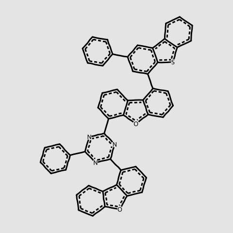 c1ccc(-c2cc(-c3cccc4oc5c(-c6nc(-c7ccccc7)nc(-c7cccc8oc9ccccc9c78)n6)cccc5c34)c3sc4ccccc4c3c2)cc1